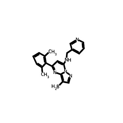 Bc1cnn2c(NCc3cccnc3)cc(-c3c(C)cccc3C)nc12